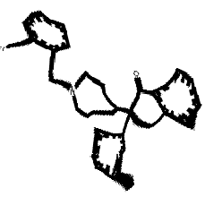 CCc1ccccc1CN1CCC(C2(c3cccc(C)c3)Cc3ccccc3C2=O)CC1